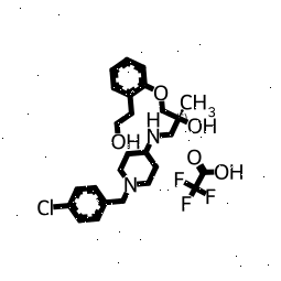 C[C@](O)(CNC1CCN(Cc2ccc(Cl)cc2)CC1)COc1ccccc1CCO.O=C(O)C(F)(F)F